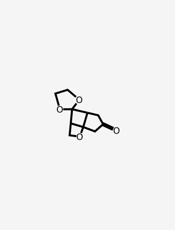 O=C1CC2C3(C1)OCC3C21OCCO1